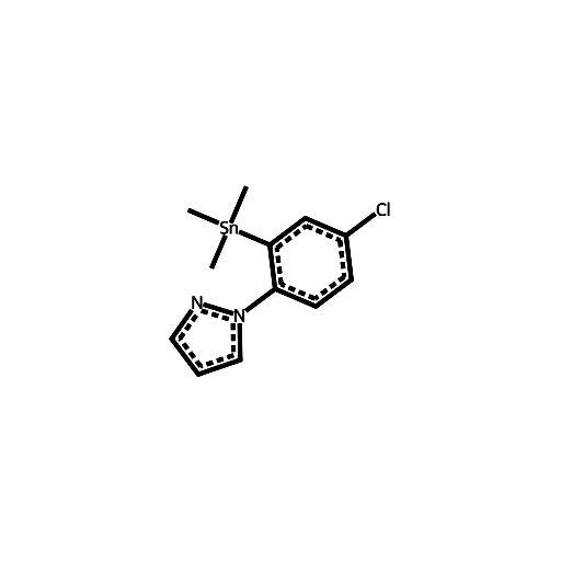 [CH3][Sn]([CH3])([CH3])[c]1cc(Cl)ccc1-n1cccn1